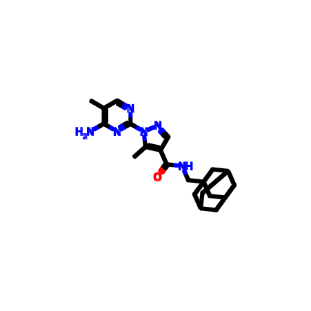 Cc1cnc(-n2ncc(C(=O)NCC34CC5CC(CC(C5)C3)C4)c2C)nc1N